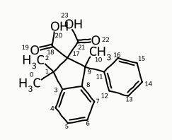 CC1(C)c2ccccc2C(C)(c2ccccc2)C1(C(=O)O)C(=O)O